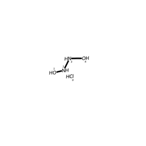 Cl.ONNO